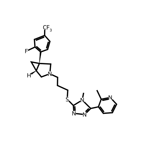 Cc1ncccc1-c1nnc(SCCCN2C[C@@H]3C[C@]3(c3ccc(C(F)(F)F)cc3F)C2)n1C